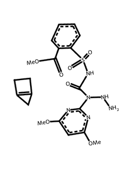 C1CC2=C1C2.COC(=O)c1ccccc1S(=O)(=O)NC(=O)N(NN)c1nc(OC)cc(OC)n1